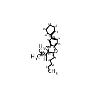 CCCCCC(Oc1ccc(C2=CCCCC2)cc1)C(=O)NC(C)C